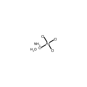 N.O.[Cl][Ru]([Cl])([Cl])[Cl]